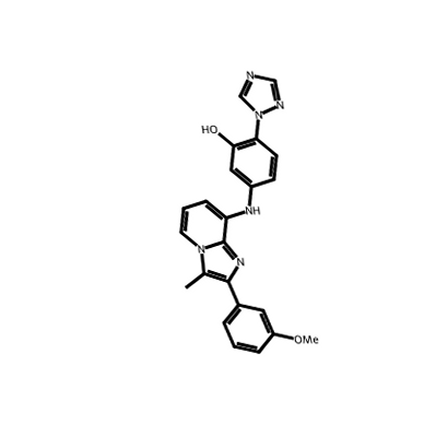 COc1cccc(-c2nc3c(Nc4ccc(-n5cncn5)c(O)c4)cccn3c2C)c1